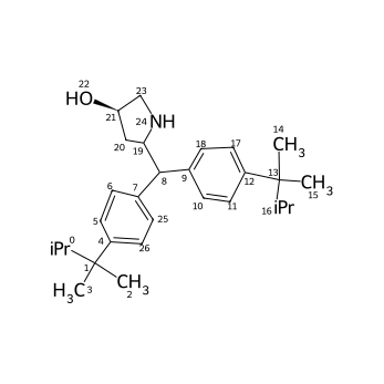 CC(C)C(C)(C)c1ccc(C(c2ccc(C(C)(C)C(C)C)cc2)C2C[C@@H](O)CN2)cc1